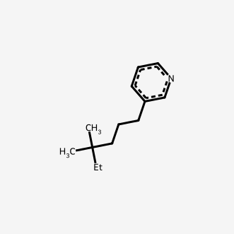 CCC(C)(C)CCCc1cccnc1